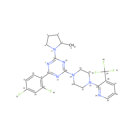 CC1CCCN1c1nc(-c2ccc(F)cc2F)nc(N2CCN(c3ncccc3C(F)(F)F)CC2)n1